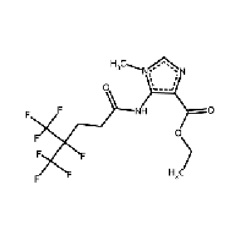 CCOC(=O)c1ncn(C)c1NC(=O)CCC(F)(C(F)(F)F)C(F)(F)F